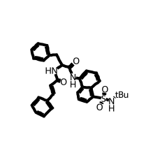 CC(C)(C)NS(=O)(=O)c1cccc2c(NC(=O)C(Cc3ccccc3)NC(=O)/C=C/c3ccccc3)cccc12